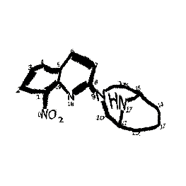 O=[N+]([O-])c1cccc2ccc(N3CC4CCCC(C3)N4)nc12